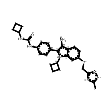 Cc1noc(COc2ccc3c(N)c(-c4ccc(NC(=O)NC5CCC5)cc4)n(C4CCC4)c3c2)n1